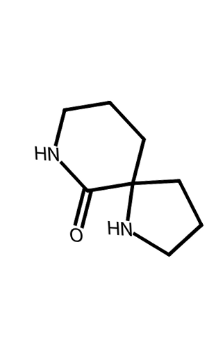 O=C1NCCCC12CCCN2